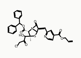 C=CCOC(=O)c1ccnc(/C=C2/C(=O)N3C2S[C@@](C)(C(O)C(=O)CCl)[C@@H]3C(=O)OC(c2ccccc2)c2ccccc2)c1